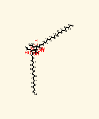 C=CC[C@@](O)(C(O)CCCCCCCCCCCCCCCCCC)[C@]1(O)C(C)(C)[C@@]1(O)[C@@](O)(CC=C)C(O)CCCCCCCCCCCCCCCCCC